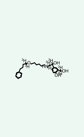 [2H]C([2H])(CCCc1ccccc1)OCCCCCCNC([2H])([2H])C([2H])(O)c1ccc(O)c(C([2H])([2H])O)c1